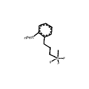 CCCCCc1ccccc1CCCP(C)(F)(F)F